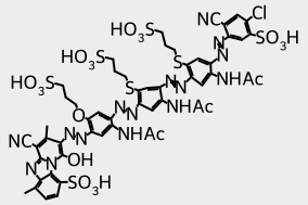 CC(=O)Nc1cc(N=Nc2cc(SCCCS(=O)(=O)O)c(N=Nc3cc(OCCCS(=O)(=O)O)c(N=Nc4c(C)c(C#N)c5nc6c(C)ccc(S(=O)(=O)O)c6n5c4O)cc3NC(C)=O)cc2NC(C)=O)c(SCCCS(=O)(=O)O)cc1N=Nc1cc(S(=O)(=O)O)c(Cl)cc1C#N